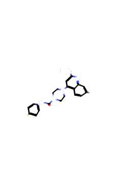 Nc1cc(N2CCN(C(=O)Nc3ccc(F)cc3)CC2)c2ccc(Cl)cc2n1